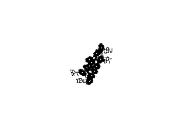 CC(C)c1ccc(N(c2ccc3c(c2)C(c2ccccc2)(c2ccccc2)c2cc(N(c4ccc(C(C)C)cc4)c4cccc5c4oc4c(C(C)(C)C)cccc45)c4ccccc4c2-3)c2cccc3c2oc2c(C(C)(C)C)cccc23)cc1